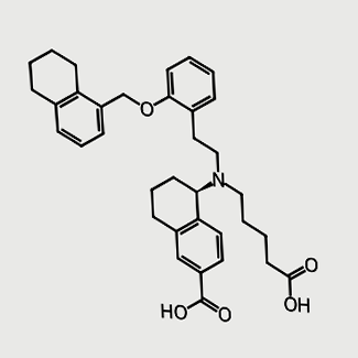 O=C(O)CCCCN(CCc1ccccc1OCc1cccc2c1CCCC2)[C@@H]1CCCc2cc(C(=O)O)ccc21